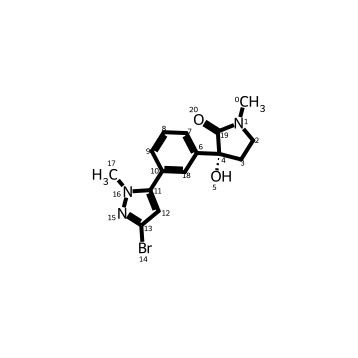 CN1CC[C@@](O)(c2cccc(-c3cc(Br)nn3C)c2)C1=O